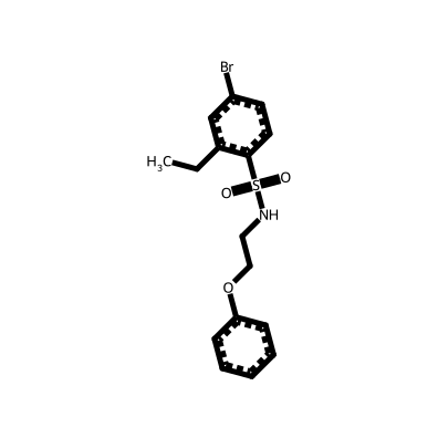 CCc1cc(Br)ccc1S(=O)(=O)NCCOc1ccccc1